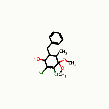 COC1(OC)C(Cl)=C(Cl)C(O)C(Cc2ccccc2)C1C